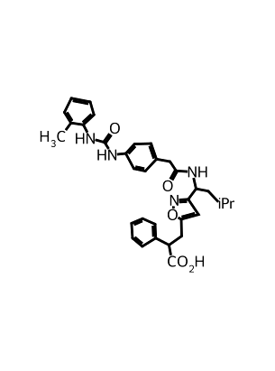 Cc1ccccc1NC(=O)Nc1ccc(CC(=O)NC(CC(C)C)c2cc(CC(C(=O)O)c3ccccc3)on2)cc1